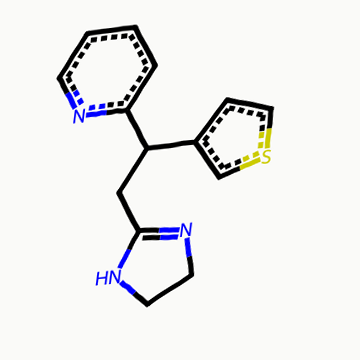 c1ccc(C(CC2=NCCN2)c2ccsc2)nc1